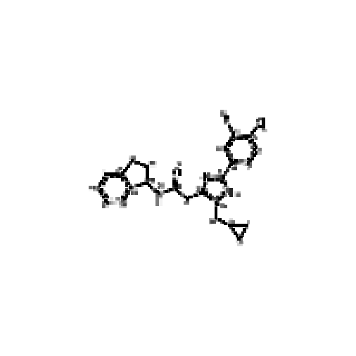 O=C(Cc1nc(-c2ccc(Cl)c(F)c2)nn1CC1CC1)NC1CCc2ccccc21